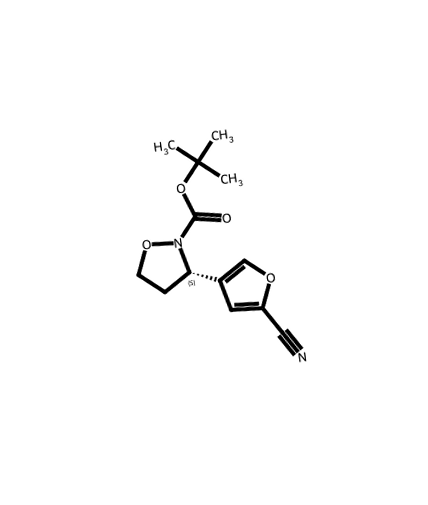 CC(C)(C)OC(=O)N1OCC[C@H]1c1coc(C#N)c1